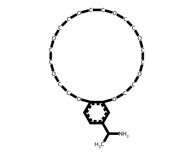 CC(N)c1ccc2c(c1)OCCOCCOCCOCCOCCOCCOCCO2